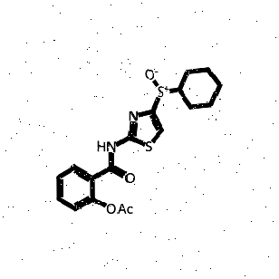 CC(=O)Oc1ccccc1C(=O)Nc1nc([S+]([O-])C2CCCCC2)cs1